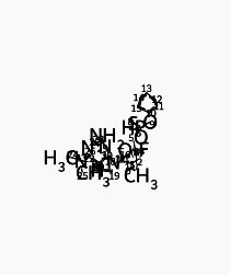 C[C@H]1C[C@@](F)(CO[PH](=S)Oc2ccccc2)O[C@H]1n1cnc2c(N(C)C)nc(N)nc21